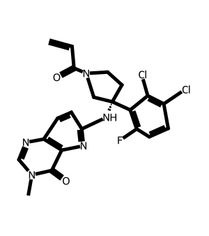 C=CC(=O)N1CC[C@@](Nc2ccc3ncn(C)c(=O)c3n2)(c2c(F)ccc(Cl)c2Cl)C1